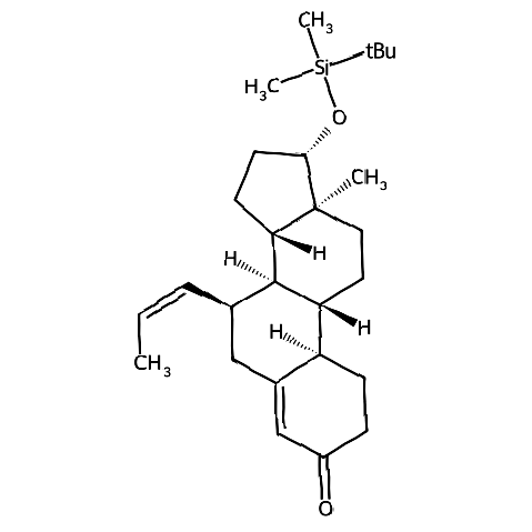 C/C=C\[C@@H]1CC2=CC(=O)CC[C@@H]2[C@H]2CC[C@]3(C)[C@@H](O[Si](C)(C)C(C)(C)C)CC[C@H]3[C@@H]21